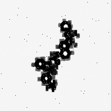 C=C(C[N+]1(C)CCCCC1)c1ccc2c(c1)CCC[C@H]2NC(=O)C[C@@H](NS(=O)(=O)c1cccc(C(F)(F)F)c1)c1ccccc1